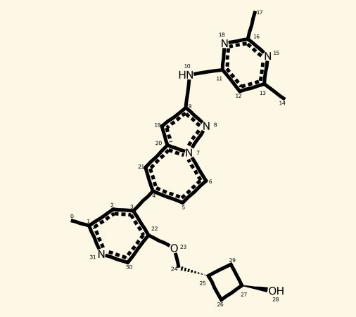 Cc1cc(-c2ccn3nc(Nc4cc(C)nc(C)n4)cc3c2)c(OC[C@H]2C[C@H](O)C2)cn1